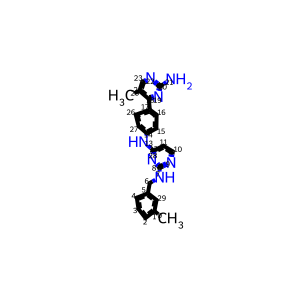 Cc1cccc(CNc2nccc(Nc3ccc(-c4nc(N)ncc4C)cc3)n2)c1